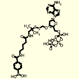 CC(C)(CNC(=O)CCCCNC(=O)c1ccc(B(O)O)cc1)SSCO[C@@H]1C[C@H](n2cnc3c(N)ncnc32)OC1COP(=O)(O)OP(=O)(O)OP(=O)(O)O